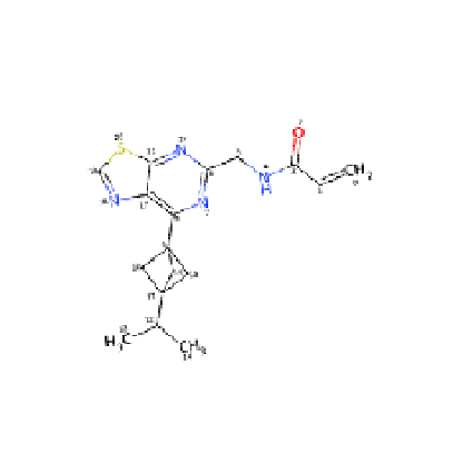 C=CC(=O)NCc1nc(C23CC(C(C)C)(C2)C3)c2ncsc2n1